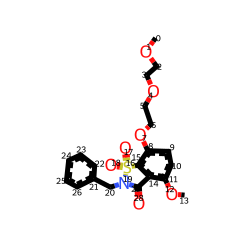 COCCOCCOc1ccc(OC)c2c1S(=O)(=O)N(Cc1ccccc1)C2=O